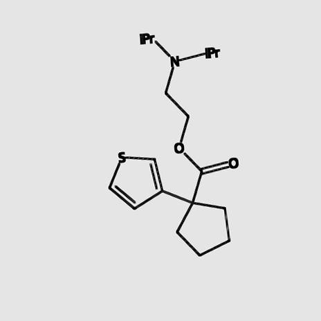 CC(C)N(CCOC(=O)C1(c2ccsc2)CCCC1)C(C)C